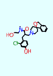 CN(CCO)C(=O)C(Cc1ccc(O)cc1Cl)CN1CCC2(CC1)OCc1ccccc12